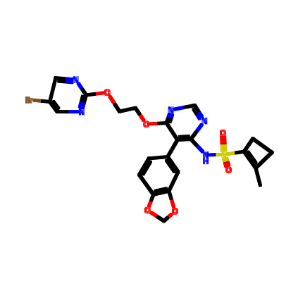 CC1=C(S(=O)(=O)Nc2ncnc(OCCOc3ncc(Br)cn3)c2-c2ccc3c(c2)OCO3)CC1